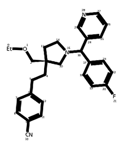 CCOC[C@@]1(CCc2ccc(C#N)cc2)CCN(C(c2ccc(F)cc2)c2cccnc2)C1